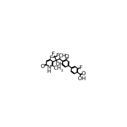 Cc1[nH]c(=O)ccc1C(O)(C(C)c1ccc(-c2ccc(C(=O)O)c(F)c2)cc1Cl)C(F)(F)F